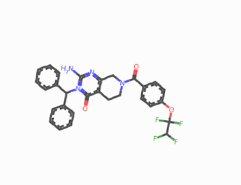 Nc1nc2c(c(=O)n1C(c1ccccc1)c1ccccc1)CCN(C(=O)c1ccc(OC(F)(F)C(F)F)cc1)C2